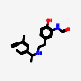 C#C/C(C)=C\C(=C/C)[C@H](C)NCCc1ccc(O)c(NC=O)c1